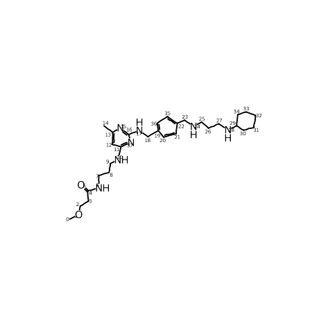 COCCC(=O)NCCCNc1cc(C)nc(NCc2ccc(CNCCCNC3CCCCC3)cc2)n1